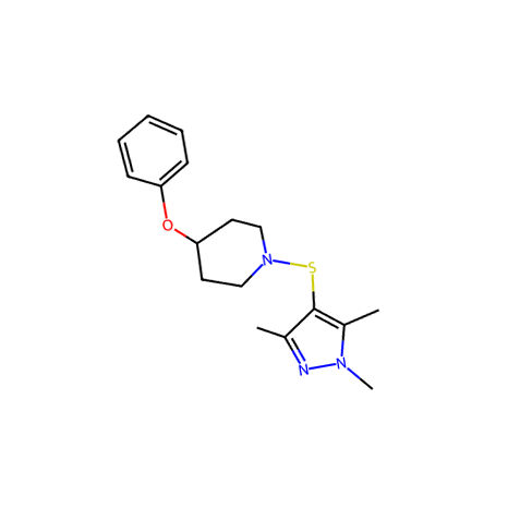 Cc1nn(C)c(C)c1SN1CCC(Oc2ccccc2)CC1